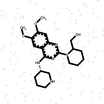 COc1cc2nc(N3CCCCC3CO)nc(N[C@H]3CCCNC3)c2cc1OC